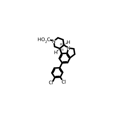 O=C(O)N1CC[C@@H]2[C@H](C1)c1cc(-c3ccc(Cl)c(Cl)c3)cc3c1N2CC3